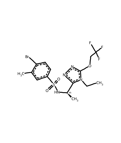 CCn1c(OCC(F)(F)F)nnc1[C@@H](C)NS(=O)(=O)c1ccc(Br)c(C)c1